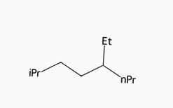 CCCC(CC)CCC(C)C